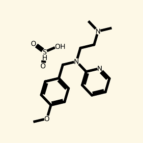 COc1ccc(CN(CCN(C)C)c2ccccn2)cc1.O=[SH](=O)O